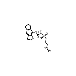 CC(C)NCCCS(=O)(=O)NC(=O)Nc1c2c(cc3c1CCC3)CCC2